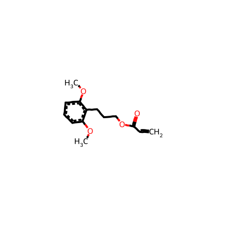 C=CC(=O)OCCCc1c(OC)cccc1OC